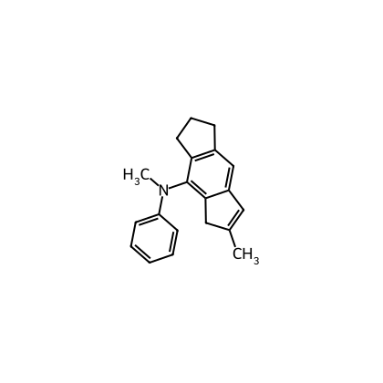 CC1=Cc2cc3c(c(N(C)c4ccccc4)c2C1)CCC3